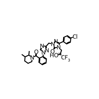 CC1CCCN(C(=O)c2ccccc2-n2cnc(Cn3nc(-c4ccc(Cl)cc4)n(C[C@H](O)C(F)(F)F)c3=O)n2)C1C